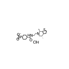 C[C@@H]1CN(CCNC(=O)c2ccc([N+](=O)[O-])cc2)[C@@H](C)c2sccc21.Cl